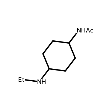 CCNC1CCC(NC(C)=O)CC1